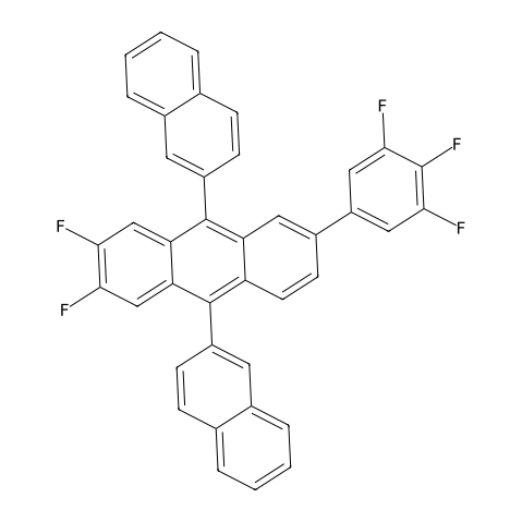 Fc1cc2c(-c3ccc4ccccc4c3)c3ccc(-c4cc(F)c(F)c(F)c4)cc3c(-c3ccc4ccccc4c3)c2cc1F